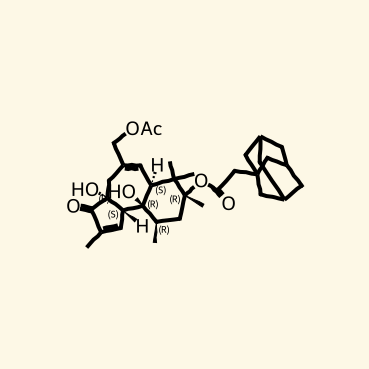 CC(=O)OCC1=C[C@H]2C(C)(C)[C@](C)(OC(=O)CC34CC5CC(CC(C5)C3)C4)C[C@@H](C)[C@]2(O)[C@@H]2C=C(C)C(=O)[C@@]2(O)C1